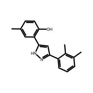 Cc1ccc(O)c(-c2cc(-c3cccc(C)c3C)n[nH]2)c1